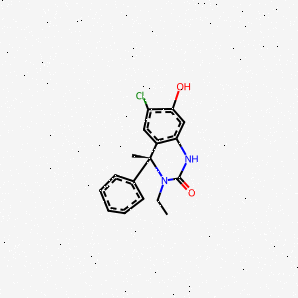 CCN1C(=O)Nc2cc(O)c(Cl)cc2[C@@]1(C)c1ccccc1